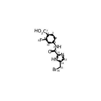 O=C(Nc1ccc(C(=O)O)c(F)c1)c1ncc(CBr)[nH]1